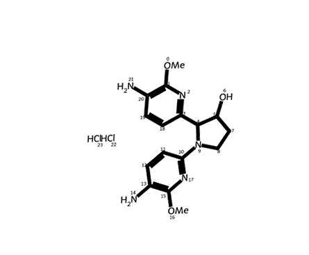 COc1nc(C2C(O)CCN2c2ccc(N)c(OC)n2)ccc1N.Cl.Cl